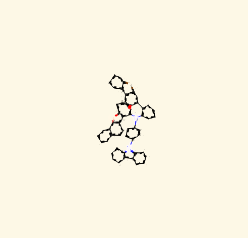 c1ccc(N(c2ccc(-n3c4ccccc4c4ccccc43)cc2)c2cccc3oc4c5ccccc5ccc4c23)c(-c2ccc3c(c2)sc2ccccc23)c1